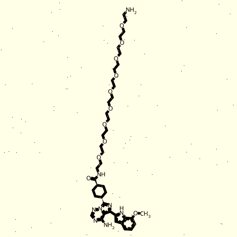 COc1cccc2cc(-c3nc([C@H]4CC[C@H](C(=O)NCCOCCOCCOCCOCCOCCOCCOCCOCCOCCN)CC4)n4ncnc(N)c34)[nH]c12